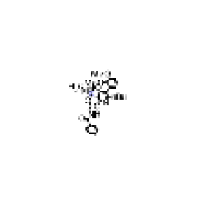 C=N/N=C(\OCCNC(=O)c1ccccc1)c1c(O)nc(CCCC)c(-c2cccc(OC)c2OC)c1O